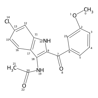 COc1cccc(C(=O)c2[nH]c3cc(Cl)ccc3c2NC(C)=O)c1